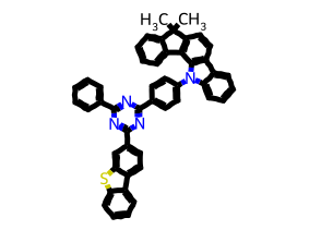 CC1(C)c2ccccc2-c2c1ccc1c3ccccc3n(-c3ccc(-c4nc(-c5ccccc5)nc(-c5ccc6c(c5)sc5ccccc56)n4)cc3)c21